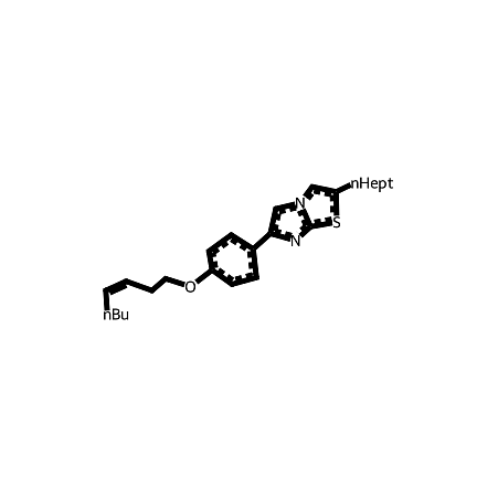 CCCC/C=C\CCOc1ccc(-c2cn3cc(CCCCCCC)sc3n2)cc1